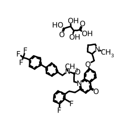 CN(Cc1ccc(-c2ccc(C(F)(F)F)cc2)cc1)C(=O)Cn1c(CCc2cccc(F)c2F)cc(=O)c2ccc(OCC3CCCN3C)cc21.O=C(O)C(O)C(O)C(=O)O